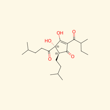 CCC(C)C(=O)C1=C(O)[C@](O)(C(=O)CCC(C)C)[C@H](CCC(C)C)C1=O